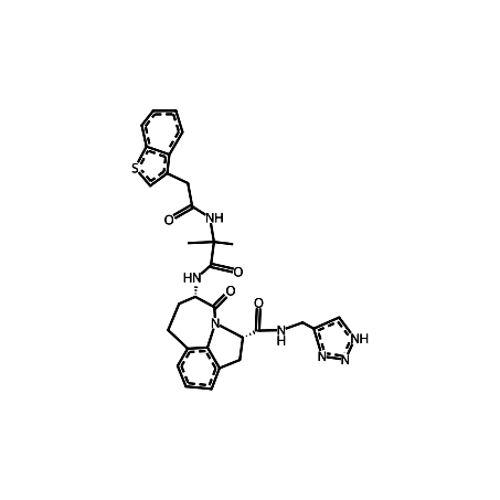 CC(C)(NC(=O)Cc1csc2ccccc12)C(=O)N[C@H]1CCc2cccc3c2N(C1=O)[C@H](C(=O)NCc1c[nH]nn1)C3